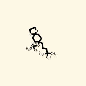 CC(C)(O)CCCC1(O[Si](C)(C)C)CCC2(CC1)OCCO2